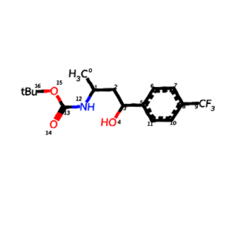 CC(CC(O)c1ccc(C(F)(F)F)cc1)NC(=O)OC(C)(C)C